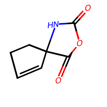 O=C1NC2(C=CCC2)C(=O)O1